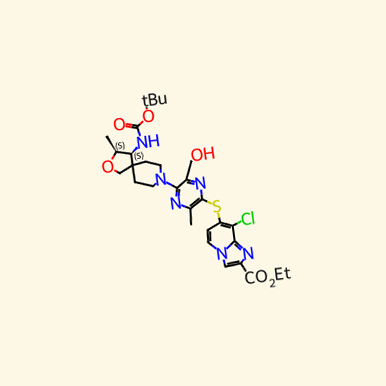 CCOC(=O)c1cn2ccc(Sc3nc(CO)c(N4CCC5(CC4)CO[C@@H](C)[C@H]5NC(=O)OC(C)(C)C)nc3C)c(Cl)c2n1